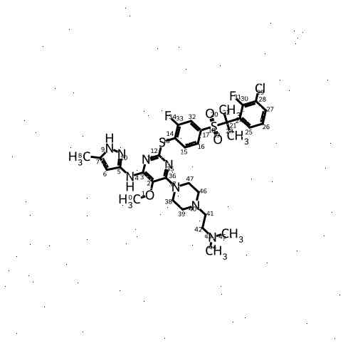 COc1c(Nc2cc(C)[nH]n2)nc(Sc2ccc(S(=O)(=O)C(C)(C)c3cccc(Cl)c3F)cc2F)nc1N1CCN(CCN(C)C)CC1